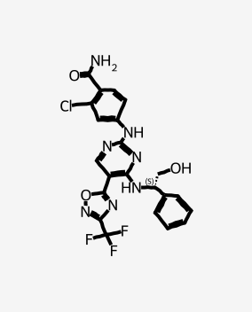 NC(=O)c1ccc(Nc2ncc(-c3nc(C(F)(F)F)no3)c(N[C@H](CO)c3ccccc3)n2)cc1Cl